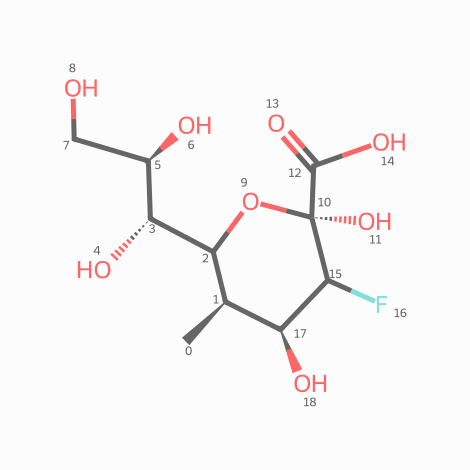 C[C@H]1C([C@H](O)[C@H](O)CO)O[C@@](O)(C(=O)O)C(F)[C@H]1O